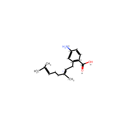 CC(C)=CCC/C(C)=C/Cc1cc(N)ccc1C(=O)O